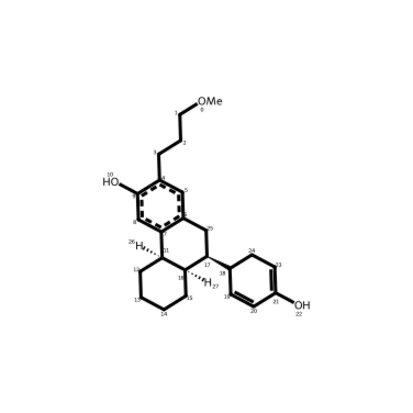 COCCCc1cc2c(cc1O)[C@@H]1CCCC[C@@H]1[C@H](C1C=CC(O)=CC1)C2